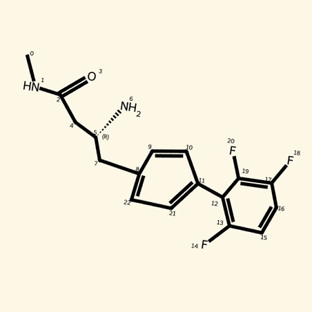 CNC(=O)C[C@H](N)Cc1ccc(-c2c(F)ccc(F)c2F)cc1